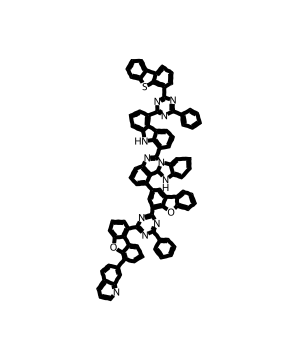 c1ccc(-c2nc(-c3cccc4c3sc3ccccc34)nc(-c3cccc4[nH]c5c(C6=Nc7cccc(-c8cc(-c9nc(-c%10ccccc%10)nc(-c%10cccc%11oc%12c(-c%13ccc%14cccnc%14c%13)cccc%12c%10%11)n9)c9oc%10ccccc%10c9c8)c7C7Nc8ccccc8N67)cccc5c34)n2)cc1